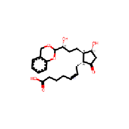 O=C(O)CCC/C=C\C[C@H]1C(=O)C[C@@H](O)[C@@H]1CC[C@@H](O)C1OCc2ccccc2O1